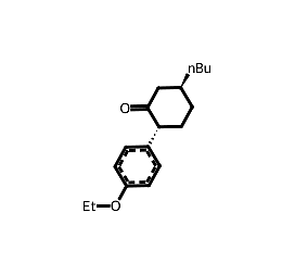 CCCC[C@H]1CC[C@H](c2ccc(OCC)cc2)C(=O)C1